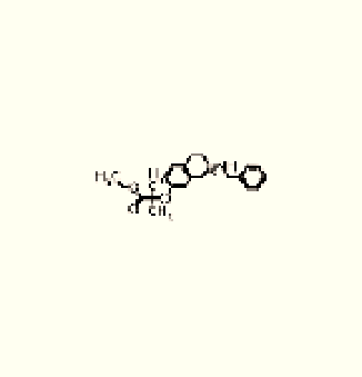 CCOC(=O)C(C)(C)Oc1ccc2c(c1)C[C@H](NCc1ccccc1)CC2